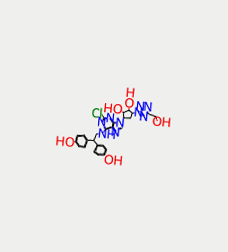 OCc1nnn([C@H]2C[C@@H](n3cnc4c(NCC(c5ccc(O)cc5)c5ccc(O)cc5)nc(Cl)nc43)[C@@H](O)[C@H]2O)n1